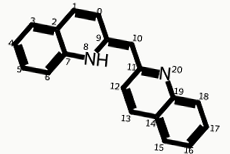 C1=Cc2ccccc2NC1=Cc1ccc2ccccc2n1